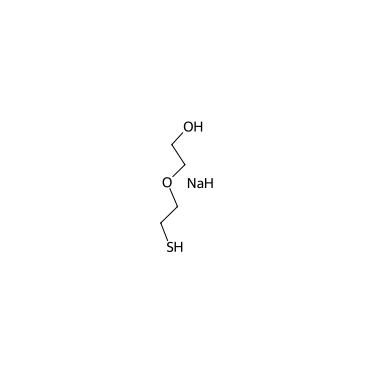 OCCOCCS.[NaH]